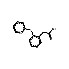 O=C(O)Cc1ccccc1Oc1ccccn1